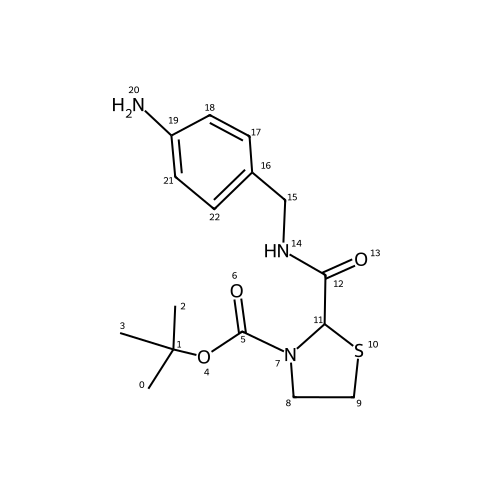 CC(C)(C)OC(=O)N1CCSC1C(=O)NCc1ccc(N)cc1